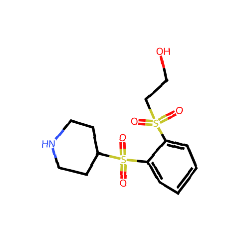 O=S(=O)(CCO)c1ccccc1S(=O)(=O)C1CCNCC1